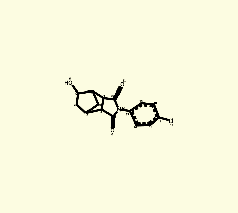 O=C1C2C3CC(O)C(C3)C2C(=O)N1c1ccc(Cl)cc1